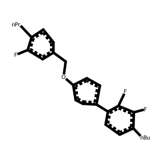 CCCCc1ccc(-c2ccc(OCc3ccc(CCC)c(F)c3)cc2)c(F)c1F